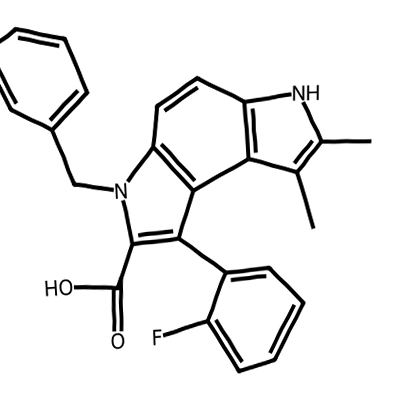 Cc1[nH]c2ccc3c(c(-c4ccccc4F)c(C(=O)O)n3Cc3ccccc3)c2c1C